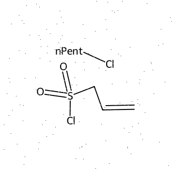 C=CCS(=O)(=O)Cl.CCCCCCl